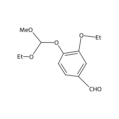 CCOc1cc(C=O)ccc1OC(OC)OCC